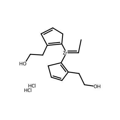 C[CH]=[Zr]([C]1=C(CCO)C=CC1)[C]1=C(CCO)C=CC1.Cl.Cl